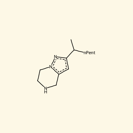 CCCCCC(C)c1cc2n(n1)CCNC2